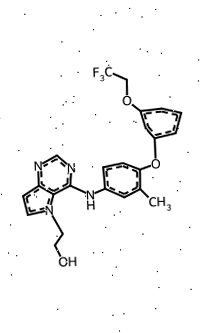 Cc1cc(Nc2ncnc3ccn(CCO)c23)ccc1Oc1cccc(OCC(F)(F)F)c1